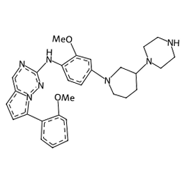 COc1cc(N2CCCC(N3CCNCC3)C2)ccc1Nc1ncc2ccc(-c3ccccc3OC)n2n1